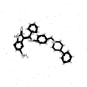 Nc1ccc2c(c1)C(=C(Nc1ccc(CN3CCC(c4ccccc4)CC3)cc1)c1ccccc1)C(=O)N2